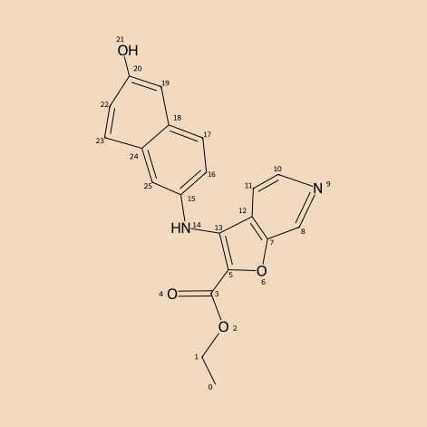 CCOC(=O)c1oc2cnccc2c1Nc1ccc2cc(O)ccc2c1